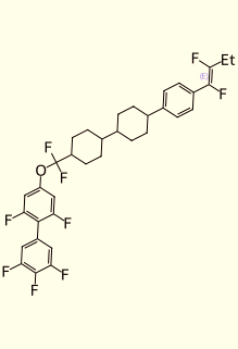 CC/C(F)=C(\F)c1ccc(C2CCC(C3CCC(C(F)(F)Oc4cc(F)c(-c5cc(F)c(F)c(F)c5)c(F)c4)CC3)CC2)cc1